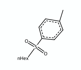 [CH2]CCCCCS(=O)(=O)c1ccc(C)cc1